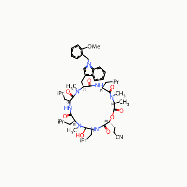 COc1ccccc1Cn1cc(C[C@H]2C(=O)N[C@@H](CC(C)C)C(=O)N(C)[C@@H](C)C(=O)O[C@H](CCC#N)C(=O)N[C@@H](CC(C)C)C(O)N(C)[C@@H](CC(C)C)C(=O)N[C@@H](CC(C)C)C(=O)N2C)c2ccccc21